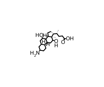 C[C@H](CCC(=O)O)[C@H]1CC[C@H]2[C@@H]3C(O)CC4CC(N)CC[C@]4(C)[C@H]3CC(O)[C@]12C